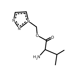 CC(C)C(N)C(=O)OCn1ccnn1